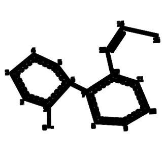 [CH2]c1ccccc1-c1ccccc1/C=C\C